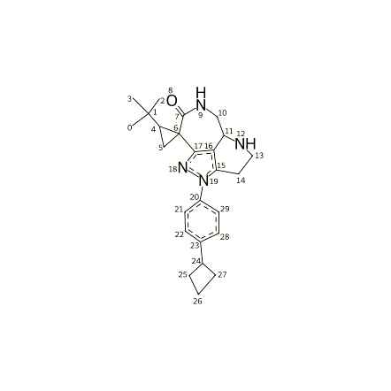 CC(C)(C)C1CC12C(=O)NCC1NCCc3c1c2nn3-c1ccc(C2CCC2)cc1